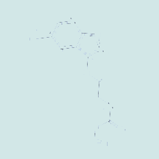 CC(C)(C)OC(=O)NCCOc1noc2ncc(Cl)cc12